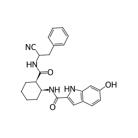 N#CC(Cc1ccccc1)NC(=O)[C@@H]1CCCC[C@@H]1NC(=O)c1cc2ccc(O)cc2[nH]1